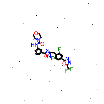 O=C(Nc1cccc(-c2nc(Cc3c(F)cc(-c4nnc(C(F)F)o4)cc3F)no2)c1)N1CCOCC1